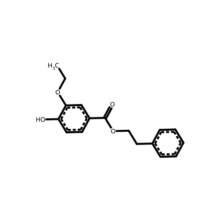 CCOc1cc(C(=O)OCCc2ccccc2)ccc1O